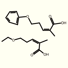 CC(=CCCOc1ccccc1)C(=O)O.CCOCCC=C(C)C(=O)O